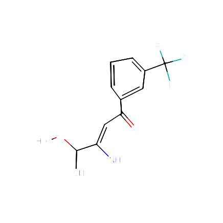 COC(C)C(N)=CC(=O)c1cccc(C(F)(F)F)c1